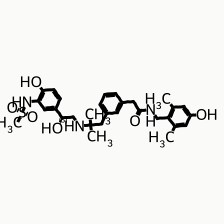 Cc1cc(O)cc(C)c1CNC(=O)Cc1cccc(CC(C)(C)NC[C@@H](O)c2ccc(O)c(NS(C)(=O)=O)c2)c1